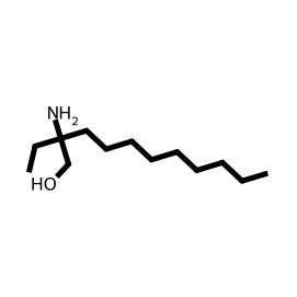 CCCCCCCCCC(N)(CC)CO